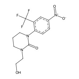 O=C1N(CCO)CCCN1c1ccc([N+](=O)[O-])cc1C(F)(F)F